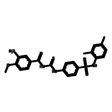 Bc1cc(C(=O)NC(=S)Nc2ccc(S(=O)(=O)Nc3ccc(C)cc3C)cc2)ccc1OC